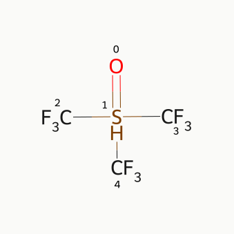 O=[SH](C(F)(F)F)(C(F)(F)F)C(F)(F)F